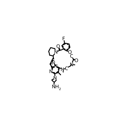 Cc1c(N2CC(N)C2)nc2cc3nn2c1N(C)CCN(C)C(=O)COc1ccc(F)cc1C(=O)N1CCCCC31